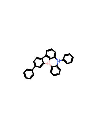 c1ccc(-c2ccc3c(c2)B2c4ccccc4N(c4ccccc4)c4cccc-3c42)cc1